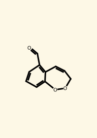 O=Cc1cccc2c1C=CCOO2